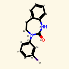 O=C1Nc2ccccc2CCN1c1cccc(I)c1